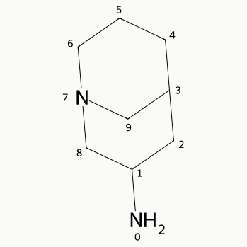 NC1CC2CCCN(C1)C2